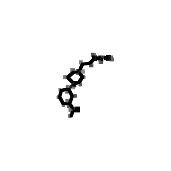 CN[C@H]1CCC[C@H](N2CCN(CCN=[N+]=[N-])CC2)C1